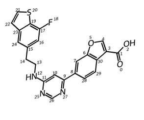 O=C(O)c1coc2cc(-c3cc(NCCc4cc(F)c5sccc5c4)ncn3)ccc12